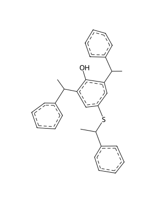 CC(Sc1cc(C(C)c2ccccc2)c(O)c(C(C)c2ccccc2)c1)c1ccccc1